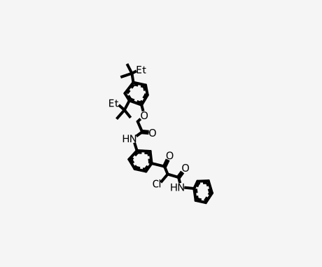 CCC(C)(C)c1ccc(OCC(=O)Nc2cccc(C(=O)C(Cl)C(=O)Nc3ccccc3)c2)c(C(C)(C)CC)c1